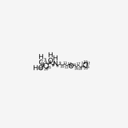 Cc1cc(C(O)CNCCCCCCOCCCCc2ccccc2)ccc1O